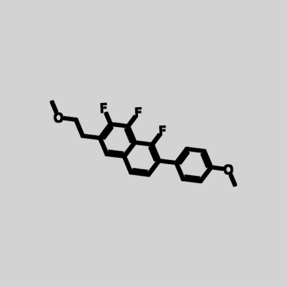 COCCc1cc2ccc(-c3ccc(OC)cc3)c(F)c2c(F)c1F